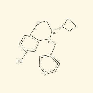 Oc1ccc2c(c1)[C@@H](Cc1ccccc1)[C@@H](N1CCC1)CO2